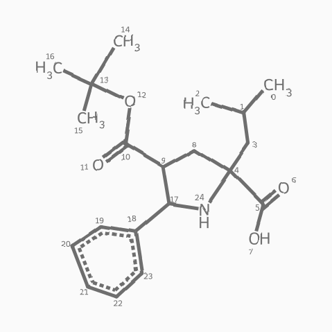 CC(C)CC1(C(=O)O)CC(C(=O)OC(C)(C)C)C(c2ccccc2)N1